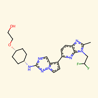 Cc1nc2ccc(-c3ccn4nc(N[C@H]5CC[C@@H](OCCO)CC5)ncc34)nc2n1CC(F)F